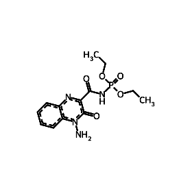 CCOP(=O)(NC(=O)c1nc2ccccc2n(N)c1=O)OCC